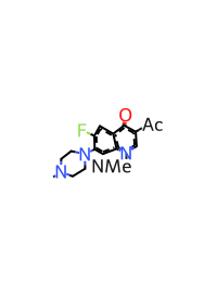 CNn1cc(C(C)=O)c(=O)c2cc(F)c(N3CCN(C)CC3)cc21